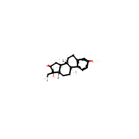 C[C@]12CC[C@@H]3c4ccc(O)cc4CC[C@H]3[C@@H]1CC(O)[C@@]2(O)CC#N